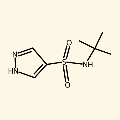 CC(C)(C)NS(=O)(=O)c1cn[nH]c1